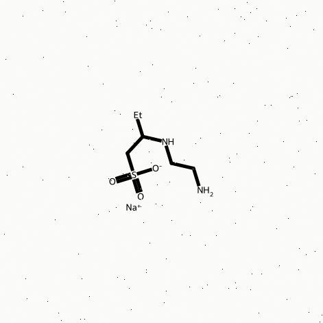 CCC(CS(=O)(=O)[O-])NCCN.[Na+]